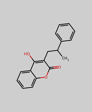 CC(Cc1c(O)c2ccccc2oc1=O)c1ccccc1